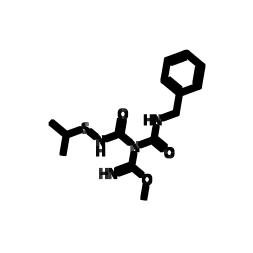 COC(=N)N(C(=O)NCc1ccccc1)C(=O)NSC(C)C